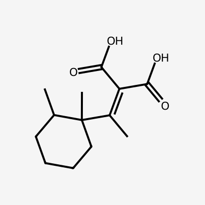 CC(=C(C(=O)O)C(=O)O)C1(C)CCCCC1C